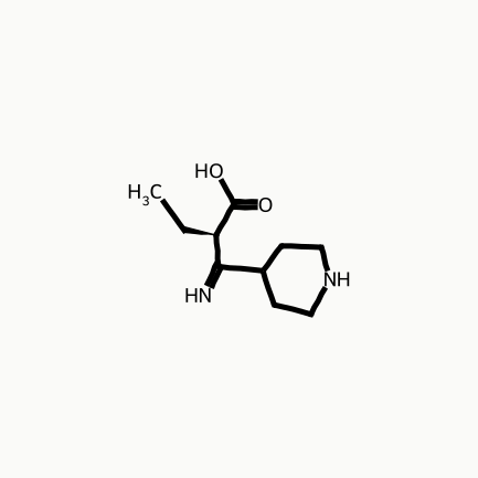 CC[C@H](C(=N)C1CCNCC1)C(=O)O